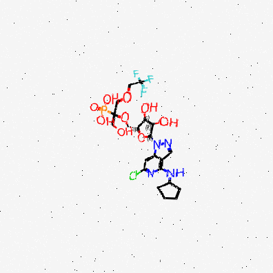 O=P(O)(O)C(CO)(COCC(F)(F)F)OC[C@H]1O[C@@H](n2ncc3c(NC4CCCC4)nc(Cl)cc32)[C@H](O)[C@@H]1O